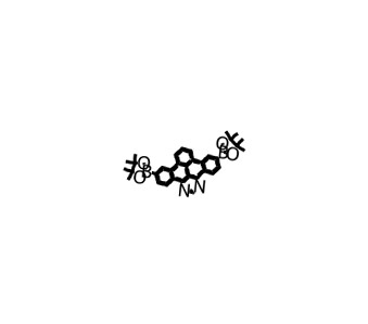 CC1(C)OB(c2ccc3c(c2)c2cccc4c5cc(B6OC(C)(C)C(C)(C)O6)ccc5c5ncnc3c5c24)OC1(C)C